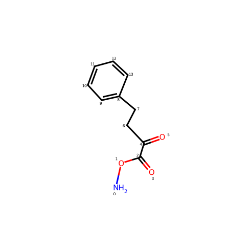 NOC(=O)C(=O)CCc1ccccc1